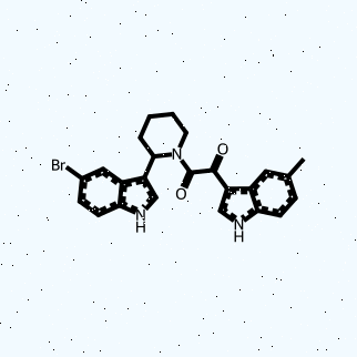 Cc1ccc2[nH]cc(C(=O)C(=O)N3CCCCC3c3c[nH]c4ccc(Br)cc34)c2c1